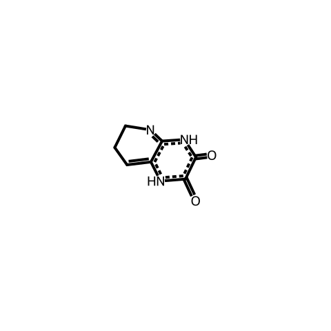 O=c1[nH]c2c([nH]c1=O)=NCCC=2